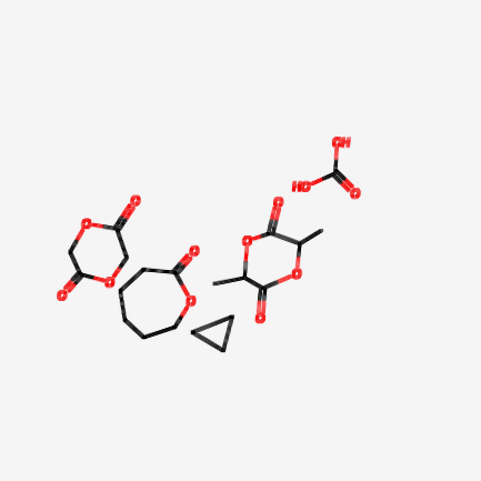 C1CC1.CC1OC(=O)C(C)OC1=O.O=C(O)O.O=C1CCCCCO1.O=C1COC(=O)CO1